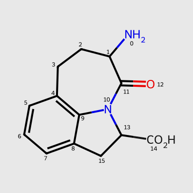 NC1CCc2cccc3c2N(C1=O)C(C(=O)O)C3